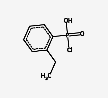 CCc1ccccc1P(=O)(O)Cl